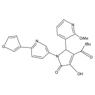 COc1ncccc1C1C(C(=O)C(C)(C)C)=C(O)C(=O)N1c1ccc(-c2ccoc2)nc1